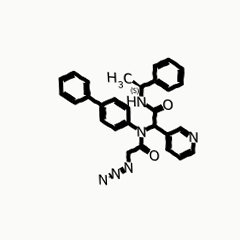 C[C@H](NC(=O)C(c1cccnc1)N(C(=O)CN=[N+]=[N-])c1ccc(-c2ccccc2)cc1)c1ccccc1